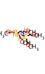 COCCCPC(CN(CCOC)CC(PCCCOC)PCCCOC)PCCCOC